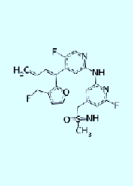 C=C/C=C(/c1cc(Nc2cc(CS(C)(=N)=O)cc(F)n2)ncc1F)c1occc1CF